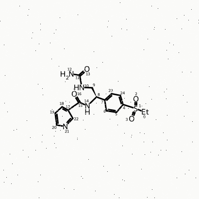 CCS(=O)(=O)c1ccc([C@H](CNC(N)=O)NC(=O)c2cccnc2)cc1